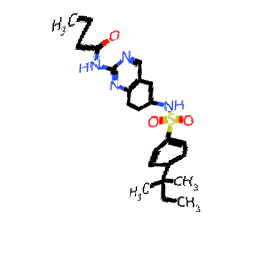 CCCC(=O)Nc1ncc2c(n1)CCC(NS(=O)(=O)c1ccc(C(C)(C)CC)cc1)C2